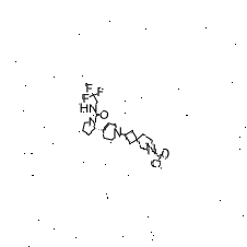 COC(=O)N1CCC2(CC(N3CC=C([C@@H]4CCCN4C(=O)NCC(F)(F)F)CC3)C2)C1